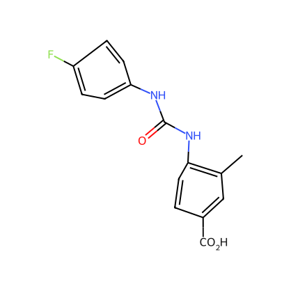 Cc1cc(C(=O)O)ccc1NC(=O)Nc1ccc(F)cc1